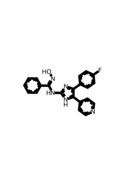 ON=C(Nc1nc(-c2ccc(F)cc2)c(-c2ccncc2)[nH]1)c1ccccc1